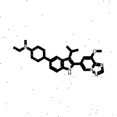 CCN(C)C1CCC(c2ccc3[nH]c(-c4cc(OC)c5ncnn5c4)c(C(C)C)c3c2)CC1